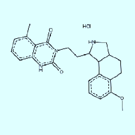 COc1cccc2c1CCC1CNC(CCn3c(=O)[nH]c4cccc(C)c4c3=O)C21.Cl